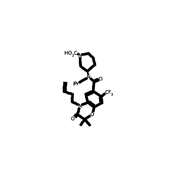 C=CCCN1C(=O)C(C)(C)Oc2cc(C(F)(F)F)c(C(=O)N(C(C)C)[C@@H]3CCCN(C(=O)O)C3)cc21